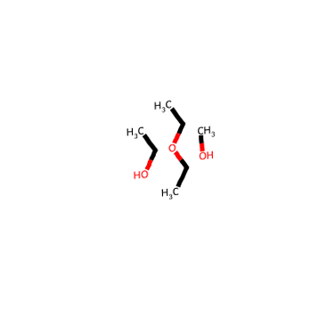 CCO.CCOCC.CO